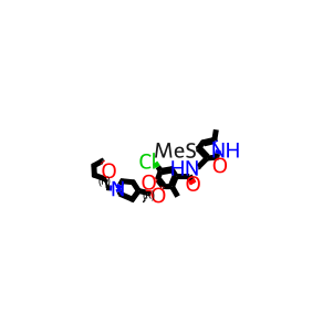 CSc1cc(C)[nH]c(=O)c1CNC(=O)c1cc(Cl)c2c(c1C)O[C@@](C)(C1CCN(C[C@H]3CCCO3)CC1)O2